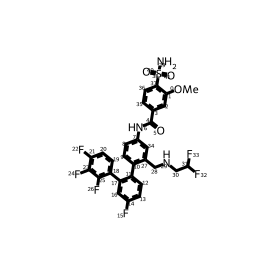 COc1cc(C(=O)Nc2ccc(-c3ccc(F)cc3-c3ccc(F)c(F)c3F)c(CNCC(F)F)c2)ccc1S(N)(=O)=O